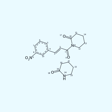 O=C(/C=C/c1cccc([N+](=O)[O-])c1)N1CCCCC1=O.O=C1CCCCN1